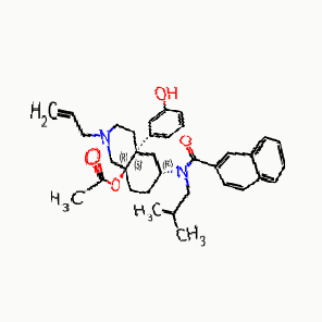 C=CCN1CC[C@@]2(c3cccc(O)c3)C[C@H](N(CC(C)C)C(=O)c3ccc4ccccc4c3)CC[C@]2(OC(C)=O)C1